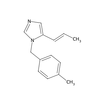 CC=Cc1cncn1Cc1ccc(C)cc1